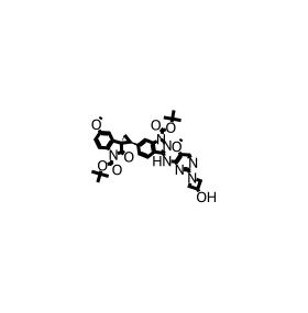 COc1ccc2c(c1)[C@]1(C[C@H]1c1ccc3c(Nc4nc(N5CC(O)C5)ncc4OC)nn(C(=O)OC(C)(C)C)c3c1)C(=O)N2C(=O)OC(C)(C)C